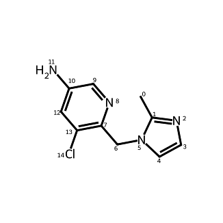 Cc1nccn1Cc1ncc(N)cc1Cl